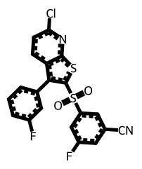 N#Cc1cc(F)cc(S(=O)(=O)c2sc3nc(Cl)ccc3c2-c2cccc(F)c2)c1